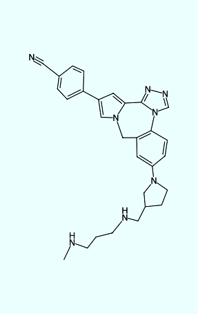 CNCCCNCC1CCN(c2ccc3c(c2)Cn2cc(-c4ccc(C#N)cc4)cc2-c2nncn2-3)C1